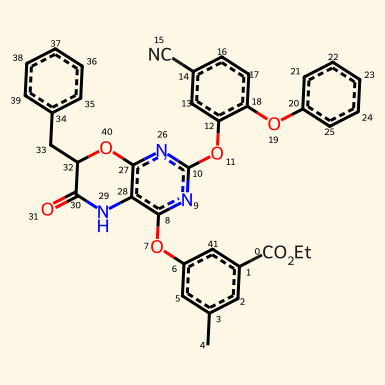 CCOC(=O)c1cc(C)cc(Oc2nc(Oc3cc(C#N)ccc3Oc3ccccc3)nc3c2NC(=O)C(Cc2ccccc2)O3)c1